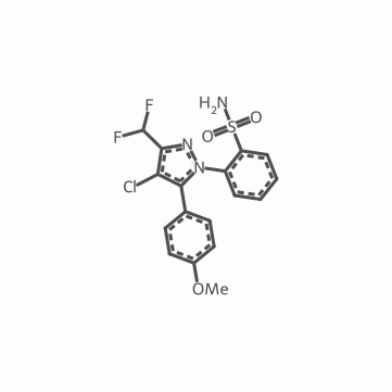 COc1ccc(-c2c(Cl)c(C(F)F)nn2-c2ccccc2S(N)(=O)=O)cc1